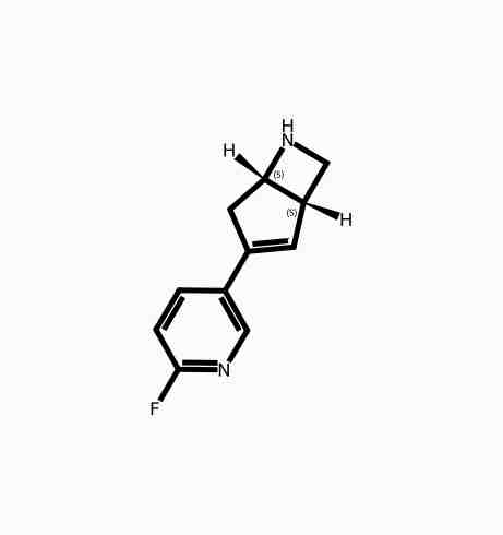 Fc1ccc(C2=C[C@H]3CN[C@H]3C2)cn1